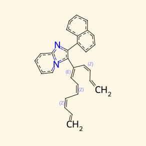 C=C\C=C/C=C\C=C(/C=C\C=C)c1c(-c2cccc3ccccc23)nc2ccccn12